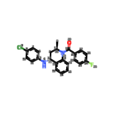 C[C@@H]1C[C@@H](Nc2ccc(Cl)cc2)c2ccccc2N1C(=O)c1ccc(F)cc1